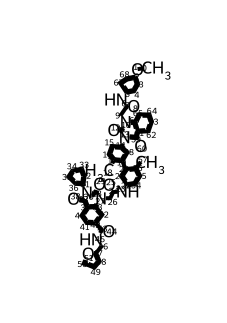 COc1ccc(NC(=O)Cn2c(=O)n(-c3ccc(C)c(-c4cc(NC(=O)Cn5c(=O)n(-c6ccccc6)c(=O)c6ccc(C(=O)NCc7ccco7)cc65)ccc4C)c3)c(=O)c3ccccc32)cc1